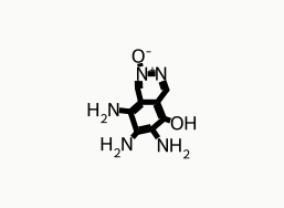 Nc1c(N)c(O)c2cn[n+]([O-])cc2c1N